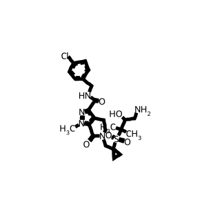 Cn1nc(C(=O)NCc2ccc(Cl)cc2)c2c1C(=O)N(CC1(S(=O)(=O)C(C)(C)C(O)CN)CC1)CC2